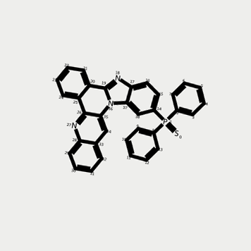 S=P(c1ccccc1)(c1ccccc1)c1ccc2nc3c4ccccc4c4nc5ccccc5cc4n3c2c1